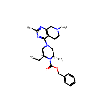 CSc1nc2c(c(N3C[C@H](CC#N)N(C(=O)OCc4ccccc4)[C@@H](C)C3)n1)CCN(C(=O)O)C2